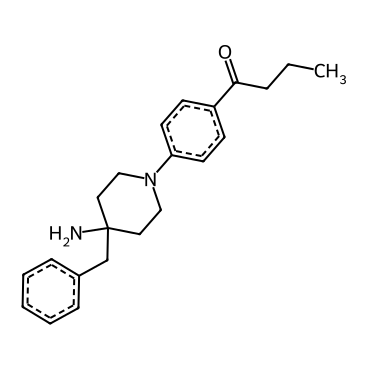 CCCC(=O)c1ccc(N2CCC(N)(Cc3ccccc3)CC2)cc1